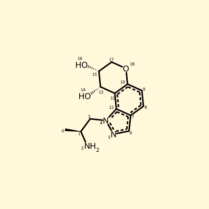 C[C@H](N)Cn1ncc2ccc3c(c21)[C@H](O)[C@H](O)CO3